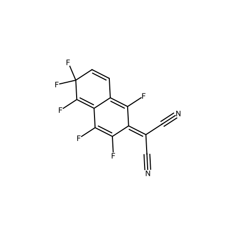 N#CC(C#N)=c1c(F)c(F)c2c(c1F)C=CC(F)(F)C=2F